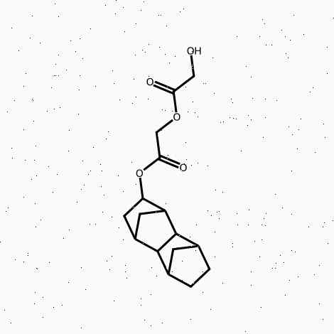 O=C(CO)OCC(=O)OC1CC2CC1C1C3CCC(C3)C21